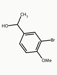 COc1ccc(C(C)O)cc1Br